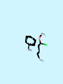 CCCCC(Cl)OC.Cc1ccccc1